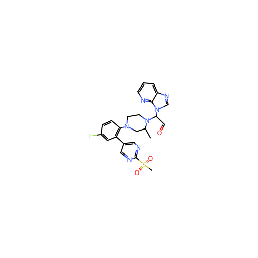 CC1CN(c2ccc(F)cc2-c2cnc(S(C)(=O)=O)nc2)CCN1C(C=O)n1cnc2cccnc21